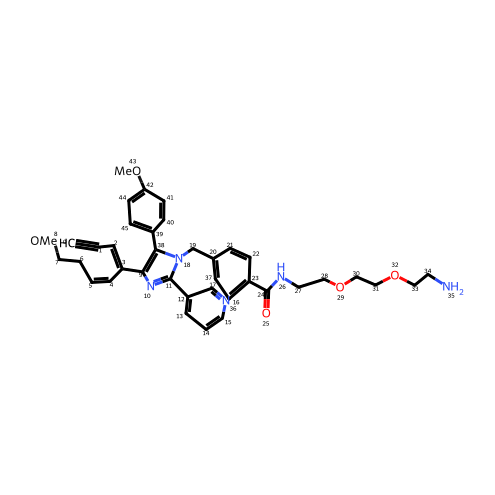 C#C/C=C(\C=C/CCOC)c1nc(-c2cccnc2)n(Cc2ccc(C(=O)NCCOCCOCCN)cc2)c1-c1ccc(OC)cc1